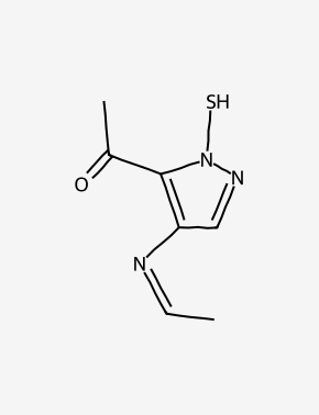 C/C=N\c1cnn(S)c1C(C)=O